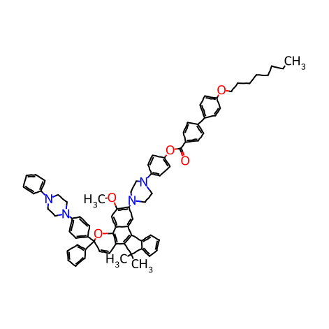 CCCCCCCCOc1ccc(-c2ccc(C(=O)Oc3ccc(N4CCN(c5cc6c7c(c8c(c6cc5OC)OC(c5ccccc5)(c5ccc(N6CCN(c9ccccc9)CC6)cc5)C=C8)C(C)(C)c5ccccc5-7)CC4)cc3)cc2)cc1